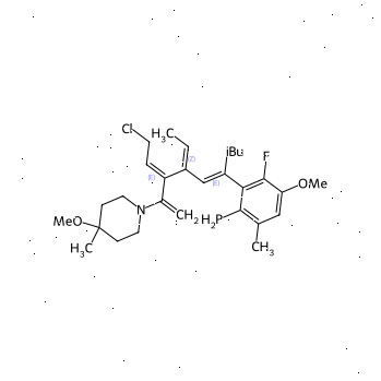 C=C(C(=C/CCl)/C(=C\C)/C=C(/c1c(F)c(OC)cc(C)c1P)C(C)CC)N1CCC(C)(OC)CC1